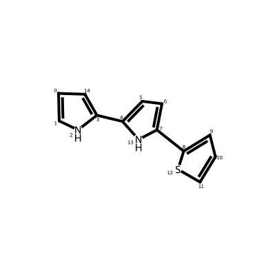 c1c[nH]c(-c2ccc(-c3cccs3)[nH]2)c1